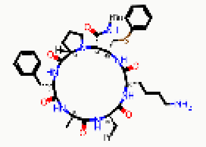 CC(C)C[C@H]1NC(=O)[C@@H](C)NC(=O)[C@H](Cc2ccccc2)NC(=O)[C@@H]2CCCN2[C@H](C(=O)NC(C)(C)C)[C@H](CSc2ccccc2)NC(=O)[C@H](CCCCN)NC1=O